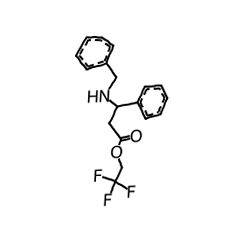 O=C(CC(NCc1ccccc1)c1ccccc1)OCC(F)(F)F